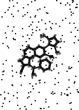 Cc1cc2c(cc1-c1c(C)noc1C)ncc1[nH]c(=O)n([C@H](C)c3ccccn3)c12